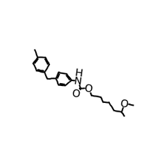 COC(C)CCCCCOC(=O)Nc1ccc(Cc2ccc(C)cc2)cc1